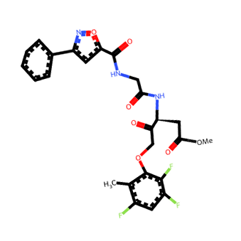 COC(=O)C[C@H](NC(=O)CNC(=O)c1cc(-c2ccccc2)no1)C(=O)COc1c(C)c(F)cc(F)c1F